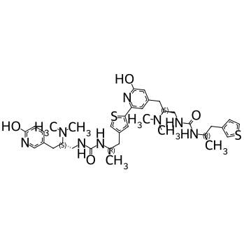 C[C@H](Cc1ccsc1)NC(=O)NC[C@H](Cc1cc(O)nc(-c2cc(C[C@@H](C)NC(=O)NC[C@H](Cc3ccc(O)nc3)N(C)C)cs2)c1)N(C)C